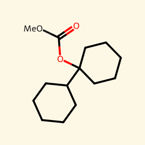 COC(=O)OC1(C2CCCCC2)CCCCC1